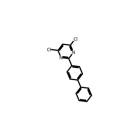 Clc1cc(Cl)nc(-c2ccc(-c3ccccc3)cc2)n1